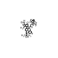 CCNc1nn(C)c2c(-c3ccc(C#CC(C)(C)O)nc3[C@H](Cc3cc(F)cc(F)c3)NC(=O)Cn3nc(C(F)F)c4c3C(F)(F)[C@@H]3C=C[C@H]43)ccc(Cl)c12